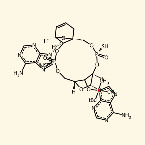 CC(C)(C)[Si](C)(C)OC1[C@H]2O[P@](=O)(S)OC[C@@]34CC=C[C@@H]([C@H](n5cnc6c(N)ncnc65)O3)[C@@H]4O[P@](=O)(S)OC[C@H]1O[C@H]2n1cnc2c(N)ncnc21